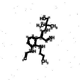 CCCNc1c(NC=O)cccc1/C(C=N)=C/NC(C)(C)CO